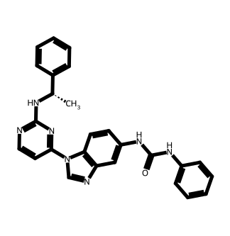 C[C@H](Nc1nccc(-n2cnc3cc(NC(=O)Nc4ccccc4)ccc32)n1)c1ccccc1